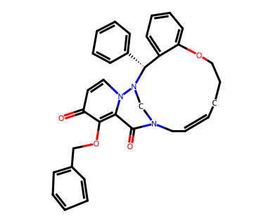 O=C1c2c(OCc3ccccc3)c(=O)ccn2N2CN1C/C=C\CCCOc1ccccc1[C@H]2c1ccccc1